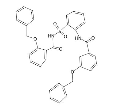 O=C(Nc1ccccc1S(=O)(=O)NC(=O)c1ccccc1OCc1ccccc1)c1cccc(OCc2ccccc2)c1